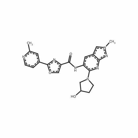 Cc1cc(-c2nc(C(=O)Nc3cc4cn(C)nc4nc3N3CCC(O)C3)co2)ccn1